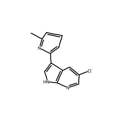 Cc1cccc(-c2c[nH]c3ncc(Cl)cc23)n1